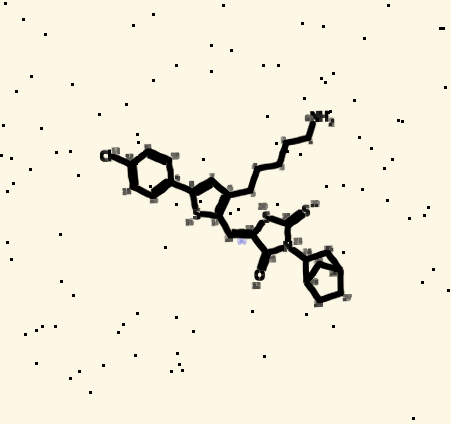 NCCCCCc1cc(-c2ccc(Cl)cc2)sc1/C=C1\SC(=S)N(C2CC3CCC2C3)C1=O